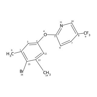 Cc1cc(Oc2ccc(C(F)(F)F)cn2)cc(C)c1Br